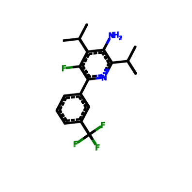 CC(C)c1nc(-c2cccc(C(F)(F)F)c2)c(F)c(C(C)C)c1N